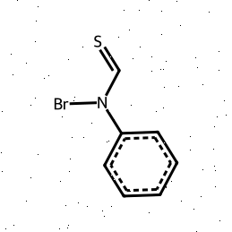 S=CN(Br)c1ccccc1